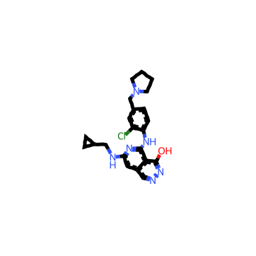 Oc1nncc2cc(NCC3CC3)nc(Nc3ccc(CN4CCCC4)cc3Cl)c12